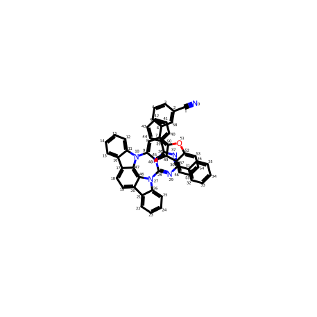 N#Cc1cccc(-c2cc(-n3c4ccccc4c4ccc5c6ccccc6n(-c6nc(-c7ccccc7)nc(-c7ccccc7)n6)c5c43)cc3c2oc2ccccc23)c1